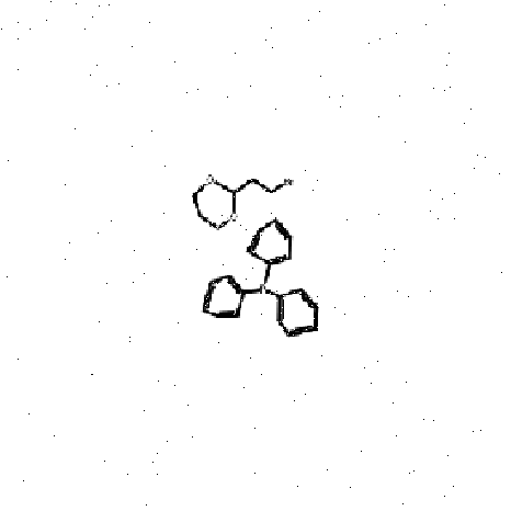 BrCCC1OCCCO1.c1ccc(P(c2ccccc2)c2ccccc2)cc1